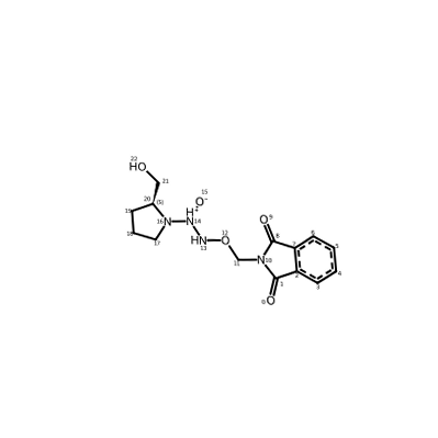 O=C1c2ccccc2C(=O)N1CON[NH+]([O-])N1CCC[C@H]1CO